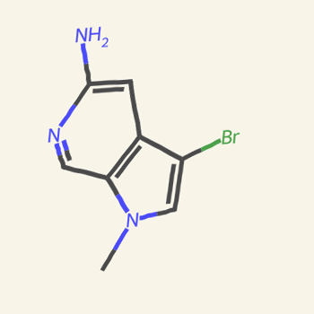 Cn1cc(Br)c2cc(N)ncc21